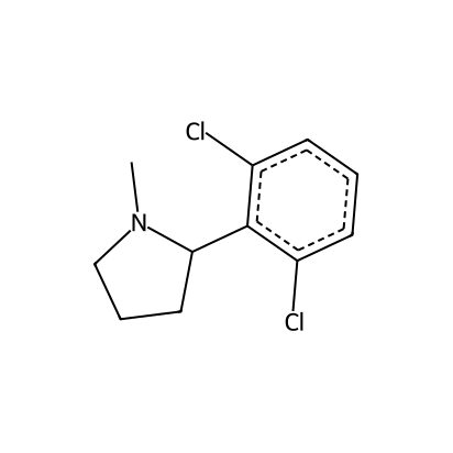 CN1CCCC1c1c(Cl)cccc1Cl